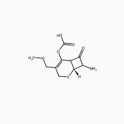 COCC1=C(OC(=O)O)N2C(=O)C(N)[C@@H]2SC1